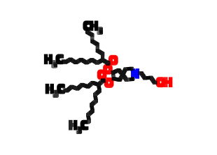 CCCCCCCCC(CCCCCCC)C(=O)O[C@@H]1CC2(CCN(CCCCO)CC2)C[C@H]1OC(=O)C(CCCCCCC)CCCCCCCC